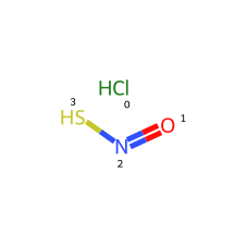 Cl.O=NS